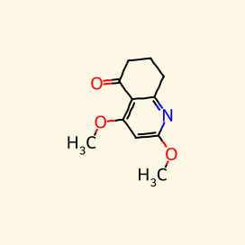 COc1cc(OC)c2c(n1)CCCC2=O